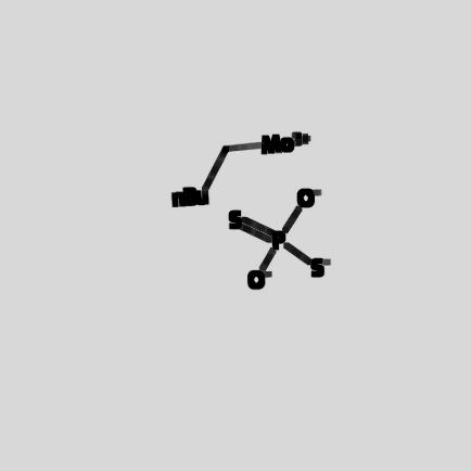 CCCC[CH2][Mo+3].[O-]P([O-])(=S)[S-]